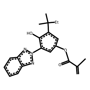 C=C(C)C(=O)Oc1cc(-n2nc3ccccc3n2)c(O)c(C(C)(C)CC)c1